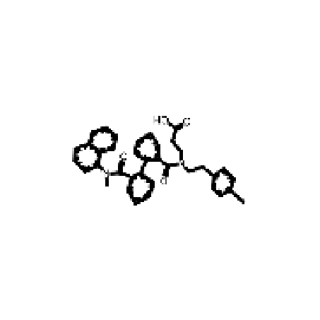 Cc1ccc(CCN(CCC(=O)O)C(=O)c2ccccc2-c2ccccc2C(=O)N(C)c2cccc3ccccc23)cc1